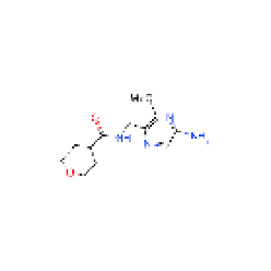 COc1nc(N)cnc1CNC(=O)C1CCOCC1